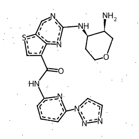 N[C@H]1COCC[C@H]1Nc1ncc2scc(C(=O)Nc3cccc(-n4ccnn4)n3)c2n1